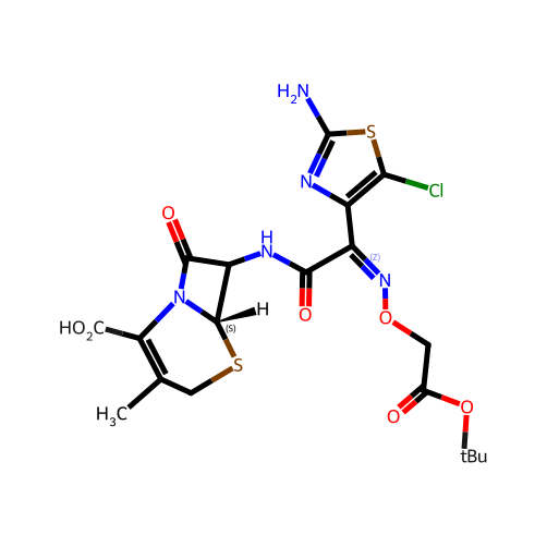 CC1=C(C(=O)O)N2C(=O)C(NC(=O)/C(=N\OCC(=O)OC(C)(C)C)c3nc(N)sc3Cl)[C@@H]2SC1